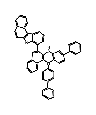 B1c2cc(-c3ccccc3)ccc2N(c2ccc(-c3ccccc3)cc2)c2c1c(-c1cccc3c1[nH]c1ccc4ccccc4c13)cc1ccccc21